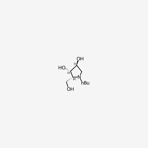 CCCCN1C[C@H](O)[C@@H](O)[C@H]1CO